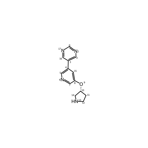 c1ncc(-c2cncc(O[C@@H]3CCNC3)c2)cn1